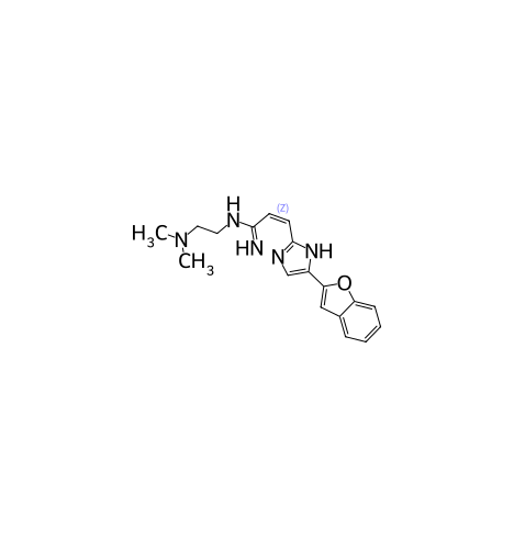 CN(C)CCNC(=N)/C=C\c1ncc(-c2cc3ccccc3o2)[nH]1